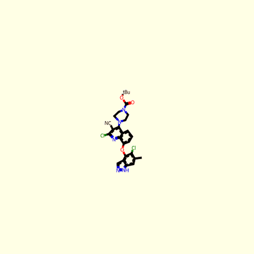 Cc1cc2[nH]ncc2c(Oc2cccc3c(N4CCN(C(=O)OC(C)(C)C)CC4)c(C#N)c(Cl)nc23)c1Cl